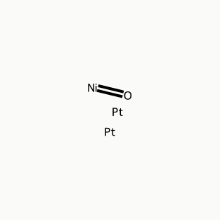 [O]=[Ni].[Pt].[Pt]